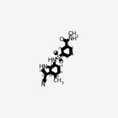 CNC(=O)c1cccc(S(=O)(=O)Nc2ccc(C)c3c(C#N)c[nH]c23)c1